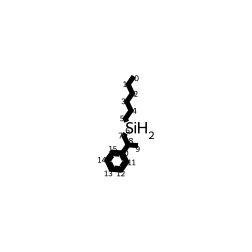 CCCCCC[SiH2]CC(C)c1ccccc1